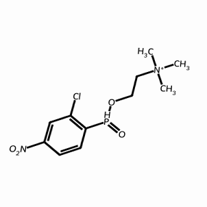 C[N+](C)(C)CCO[PH](=O)c1ccc([N+](=O)[O-])cc1Cl